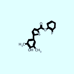 Cc1cc(-c2ccc(C(=O)OC3=C(F)CCC=C3)s2)cc(C)c1O